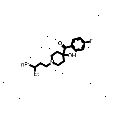 CCCC(CC)CCN1CCC(O)(C(=O)c2ccc(F)cc2)CC1